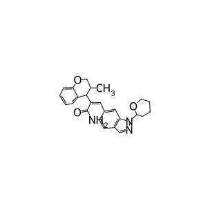 CC1COc2ccccc2C1C(=Cc1ccc2cnn(C3CCCCO3)c2c1)C(N)=O